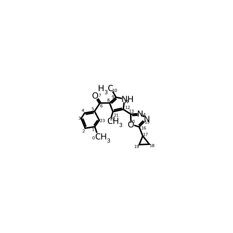 Cc1cccc(C(=O)c2c(C)[nH]c(-c3nnc(C4CC4)o3)c2C)c1